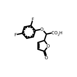 O=C1C=CC(C(Oc2ccc(F)cc2F)C(=O)O)O1